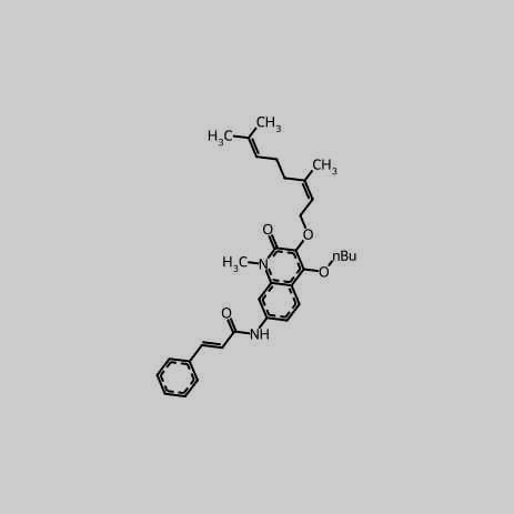 CCCCOc1c(OCC=C(C)CCC=C(C)C)c(=O)n(C)c2cc(NC(=O)C=Cc3ccccc3)ccc12